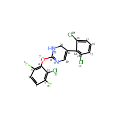 Fc1ccc(F)c(OC2=NC=C(c3c(Cl)cccc3Cl)CN2)c1Cl